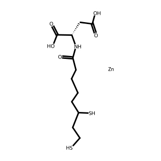 O=C(O)C[C@H](NC(=O)CCCCC(S)CCS)C(=O)O.[Zn]